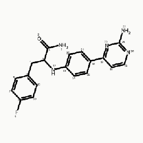 NC(=O)C(Cc1ccc(F)cc1)Nc1ccc(-c2ccnc(N)n2)cc1